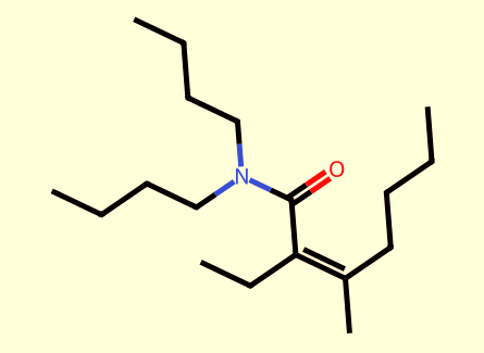 CCCCC(C)=C(CC)C(=O)N(CCCC)CCCC